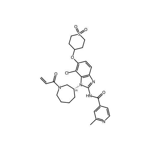 C=CC(=O)N1CCCC[C@@H](n2c(NC(=O)c3ccnc(C)c3)nc3ccc(OC4CCS(=O)(=O)CC4)c(Cl)c32)C1